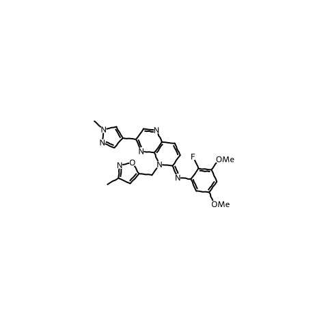 COc1cc(/N=c2\ccc3ncc(-c4cnn(C)c4)nc3n2Cc2cc(C)no2)c(F)c(OC)c1